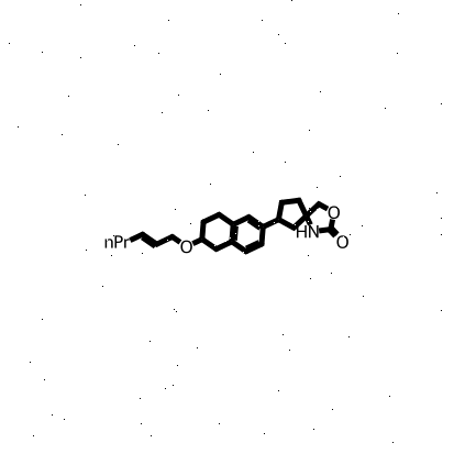 CCCC=CCOC1CCc2cc(C3CCC4(COC(=O)N4)C3)ccc2C1